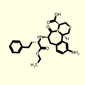 CCOC(=O)[C@H](CCc1ccccc1)N[C@@H]1Cc2ccc(N)cc2[C@@H]2CSC[C@H](C(=O)O)N2C1=O